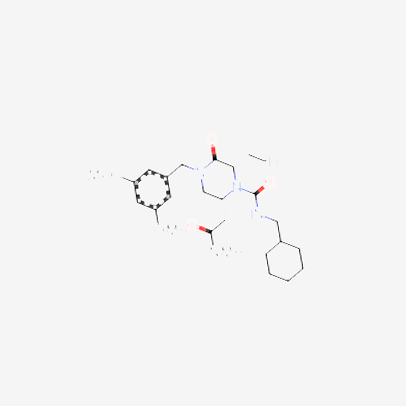 CNC(=O)C[C@@H]1CN(Cc2cc(OC)cc(OC)c2)C(=O)[C@H](CC(C)C)N1C(=O)NCC1CCCCC1